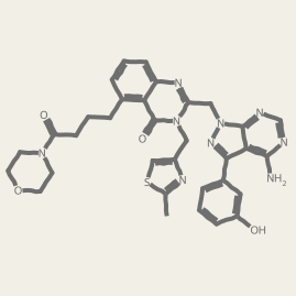 Cc1nc(Cn2c(Cn3nc(-c4cccc(O)c4)c4c(N)ncnc43)nc3cccc(CCCC(=O)N4CCOCC4)c3c2=O)cs1